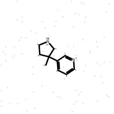 CC1(c2cccnc2)CCNC1